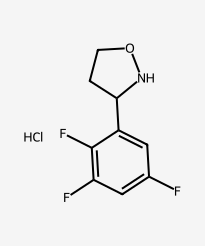 Cl.Fc1cc(F)c(F)c(C2CCON2)c1